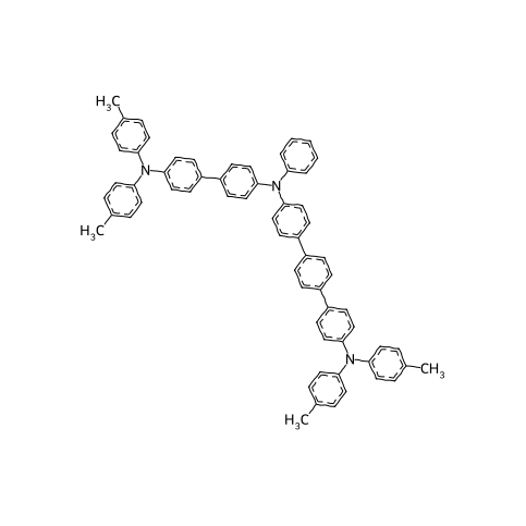 Cc1ccc(N(c2ccc(C)cc2)c2ccc(-c3ccc(-c4ccc(N(c5ccccc5)c5ccc(-c6ccc(N(c7ccc(C)cc7)c7ccc(C)cc7)cc6)cc5)cc4)cc3)cc2)cc1